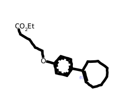 CCOC(=O)CCCCOc1ccc(/C2=C/CCCCCC2)cc1